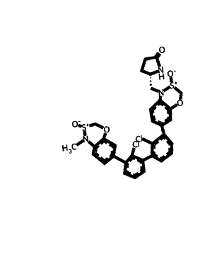 CN1c2ccc(-c3cccc(-c4cccc(-c5ccc6c(c5)OC[S+]([O-])N6C[C@@H]5CCC(=O)N5)c4Cl)c3Cl)cc2OC[S+]1[O-]